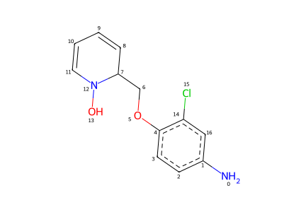 Nc1ccc(OCC2C=CC=CN2O)c(Cl)c1